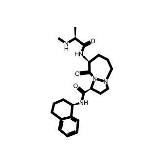 CN[C@@H](C)C(=O)N[C@H]1CCCN2CC[C@@H](C(=O)N[C@@H]3CCCc4ccccc43)N2C1=O